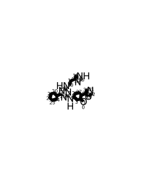 COc1cc(Nc2nc(NCCc3c[nH]cn3)nc(-c3ccccc3)n2)ccc1-c1cnco1